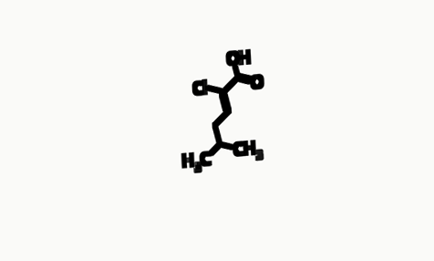 CC(C)CC=C(Cl)C(=O)O